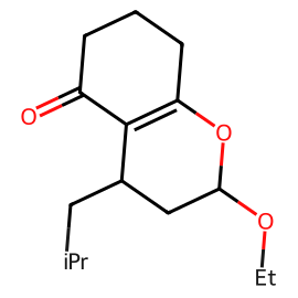 CCOC1CC(CC(C)C)C2=C(CCCC2=O)O1